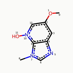 COc1cc2ncn(C)c2[n+](O)c1